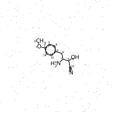 COc1ccc(CC(N)C(O)C#N)cc1